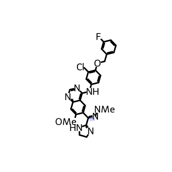 CN/N=C(/C1=NCCN1)c1cc2c(Nc3ccc(OCc4cccc(F)c4)c(Cl)c3)ncnc2cc1OC